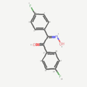 O=C(C(=NO)c1ccc(F)cc1)c1ccc(F)cc1